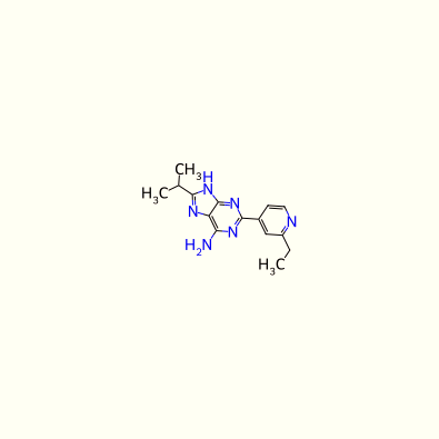 CCc1cc(-c2nc(N)c3nc(C(C)C)[nH]c3n2)ccn1